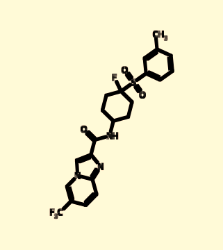 Cc1cccc(S(=O)(=O)C2(F)CCC(NC(=O)c3cn4cc(C(F)(F)F)ccc4n3)CC2)c1